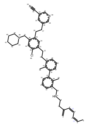 C=C(/C=C\C=C/C)CCNCc1cccc(-c2cccc(CCc3cc(CCc4cncc(C#N)c4)c(CN4CCCCC4)cc3Cl)c2C)c1C